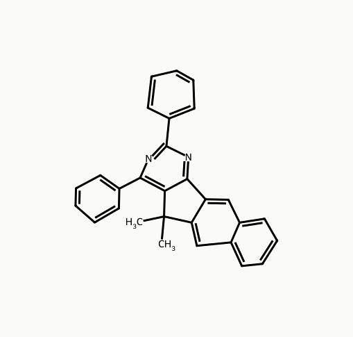 CC1(C)c2cc3ccccc3cc2-c2nc(-c3ccccc3)nc(-c3ccccc3)c21